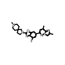 Cc1cn2nc(-c3cc(F)c4nc(N5CCC6(CCN(C)CC6)C5)oc4c3)cc(C)c2n1